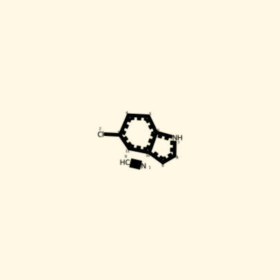 C#N.Clc1ccc2[nH]ccc2c1